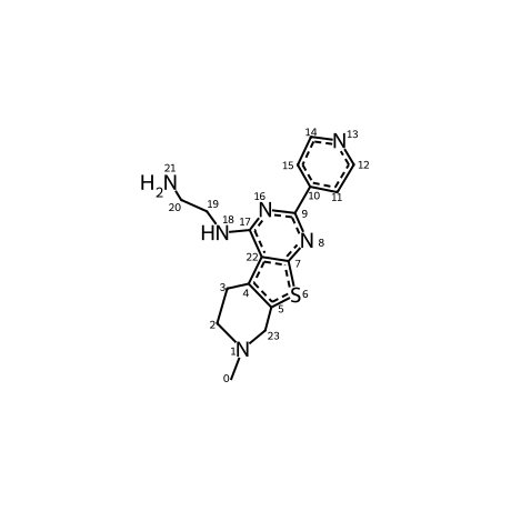 CN1CCc2c(sc3nc(-c4ccncc4)nc(NCCN)c23)C1